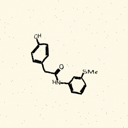 CSc1cccc(NC(=O)Cc2ccc(O)cc2)c1